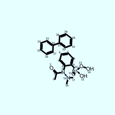 CC(=O)N(c1ccccc1[As](=O)(O)OO)N(C)C.c1ccc(-c2ccccc2)cc1